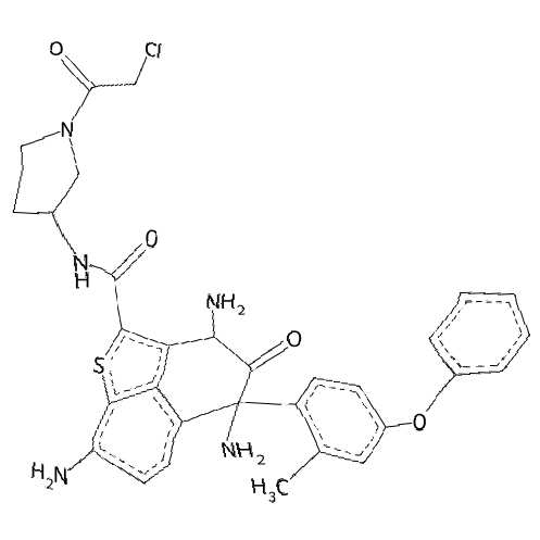 Cc1cc(Oc2ccccc2)ccc1C1(N)C(=O)C(N)c2c(C(=O)NC3CCN(C(=O)CCl)C3)sc3c(N)ccc1c23